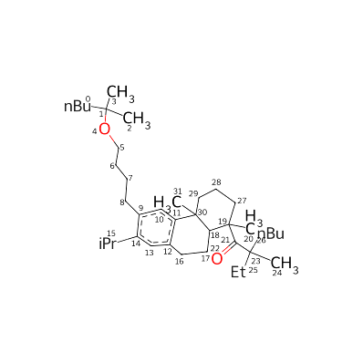 CCCCC(C)(C)OCCCCc1cc2c(cc1C(C)C)CCC1C(C)(C(=O)C(C)(CC)CCCC)CCCC21C